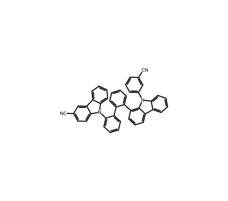 N#Cc1cccc(-n2c3ccccc3c3cccc(-c4ccccc4-c4ccccc4-n4c5ccccc5c5cc(C#N)ccc54)c32)c1